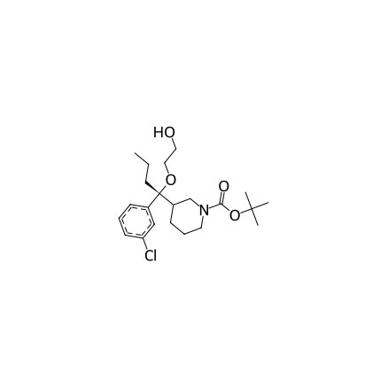 CCC[C@](OCCO)(c1cccc(Cl)c1)C1CCCN(C(=O)OC(C)(C)C)C1